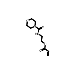 C=CC(=O)OCCNC(=O)N1CCOCC1